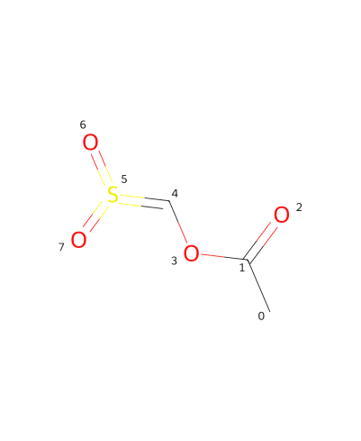 CC(=O)OC=S(=O)=O